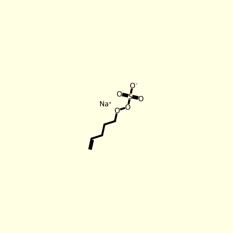 C=CCCCOOS(=O)(=O)[O-].[Na+]